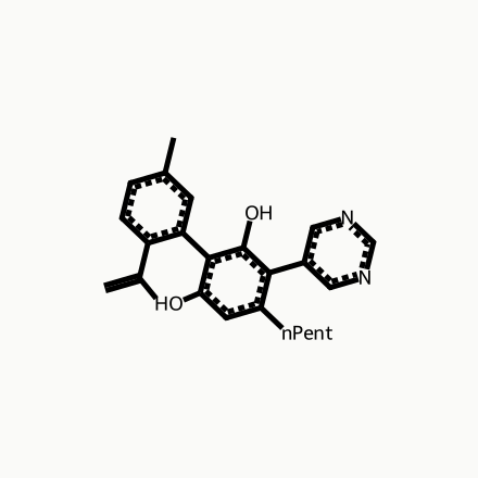 C=C(C)c1ccc(C)cc1-c1c(O)cc(CCCCC)c(-c2cncnc2)c1O